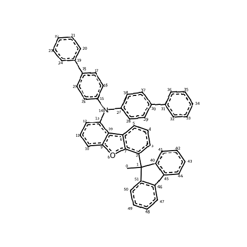 CC1(c2cccc3c2oc2cccc(N(c4ccc(-c5ccccc5)cc4)c4ccc(-c5ccccc5)cc4)c23)c2ccccc2-c2ccccc21